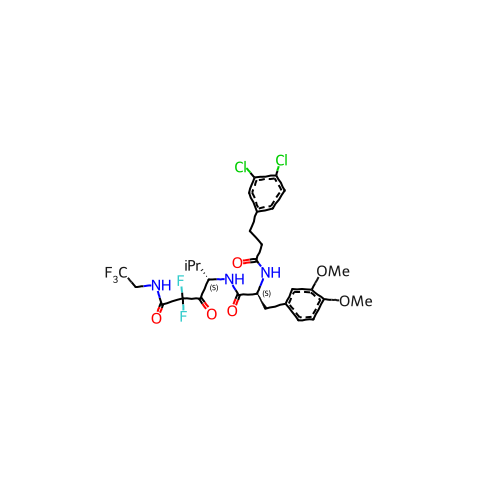 COc1ccc(C[C@H](NC(=O)CCc2ccc(Cl)c(Cl)c2)C(=O)N[C@H](C(=O)C(F)(F)C(=O)NCC(F)(F)F)C(C)C)cc1OC